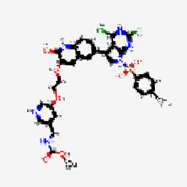 Cc1ccc(S(=O)(=O)n2cc(-c3ccc4nc(O)c(OCCOc5cncc(CNC(=O)OC(C)(C)C)c5)cc4c3)c3c(Cl)nc(Cl)nc32)cc1